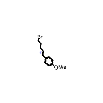 COc1ccc(/C=C/CCCBr)cc1